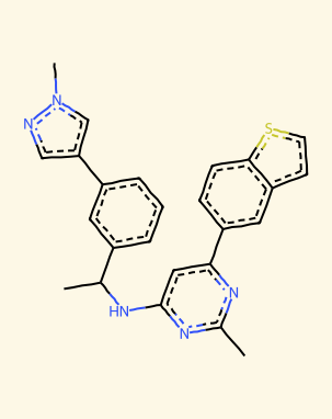 Cc1nc(NC(C)c2cccc(-c3cnn(C)c3)c2)cc(-c2ccc3sccc3c2)n1